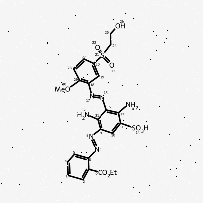 CCOC(=O)c1ccccc1/N=N/c1cc(S(=O)(=O)O)c(N)c(/N=N/c2cc(S(=O)(=O)CCO)ccc2OC)c1N